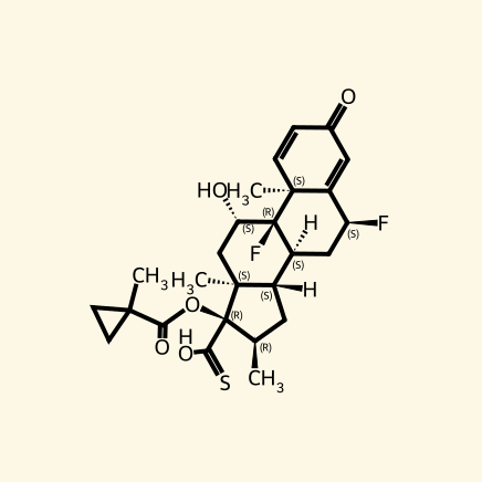 C[C@@H]1C[C@H]2[C@@H]3C[C@H](F)C4=CC(=O)C=C[C@]4(C)[C@@]3(F)[C@@H](O)C[C@]2(C)[C@@]1(OC(=O)C1(C)CC1)C(O)=S